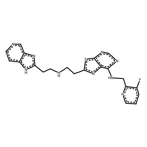 Fc1cccnc1CNc1ncnc2sc(CCNCCc3nc4cnccc4[nH]3)nc12